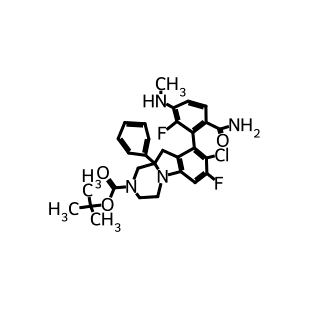 CNc1ccc(C(N)=O)c(-c2c(Cl)c(F)cc3c2CC2(c4ccccc4)CN(C(=O)OC(C)(C)C)CCN32)c1F